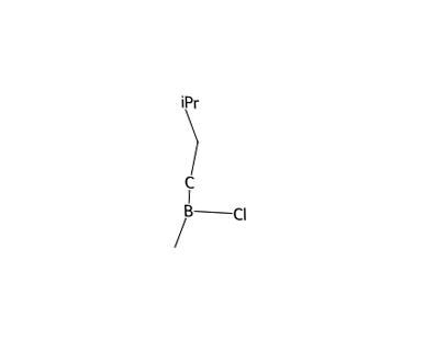 CB(Cl)CCC(C)C